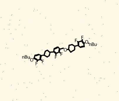 CCCCOc1ccc(C2CCC(OCc3ccc(C4CCC(c5ccc(OCCCC)c(F)c5F)CC4)c(F)c3F)CC2)c(F)c1F